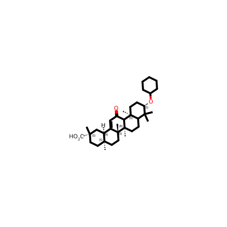 CC1(C)C2CC[C@]3(C)C(C(=O)C=C4[C@@H]5C[C@@](C)(C(=O)O)CC[C@]5(C)CC[C@]43C)[C@@]2(C)CC[C@@H]1OC1CCCCC1